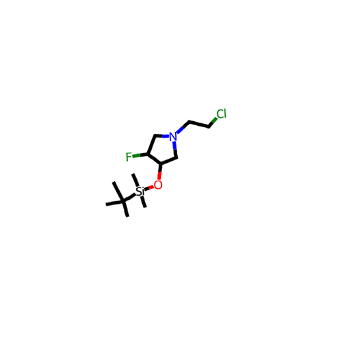 CC(C)(C)[Si](C)(C)OC1CN(CCCl)CC1F